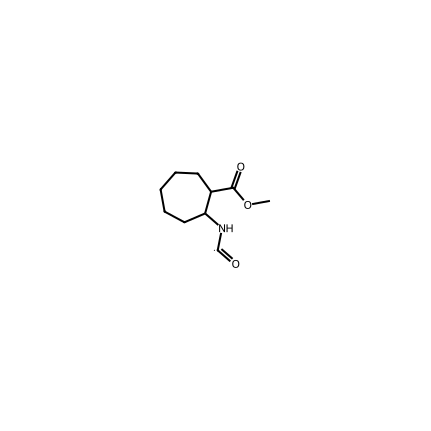 COC(=O)C1CCCCCC1N[C]=O